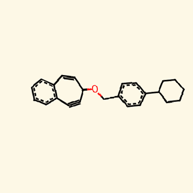 C1#CC(OCc2ccc(C3CCCCC3)cc2)C=Cc2ccccc21